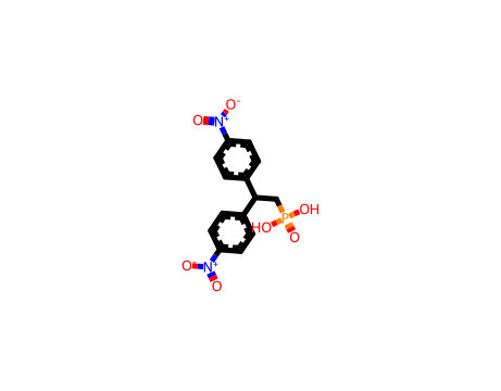 O=[N+]([O-])c1ccc(C(CP(=O)(O)O)c2ccc([N+](=O)[O-])cc2)cc1